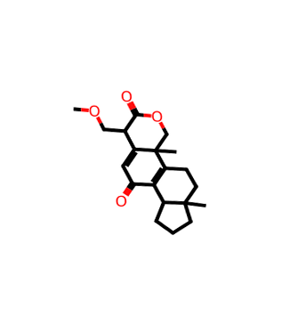 COCC1C(=O)OCC2(C)C1=CC(=O)C1=C2CCC2(C)CCCC12